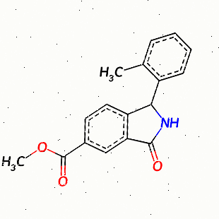 COC(=O)c1ccc2c(c1)C(=O)NC2c1ccccc1C